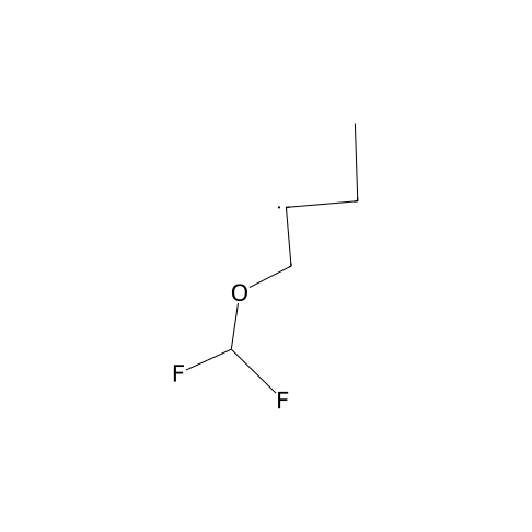 CC[CH]COC(F)F